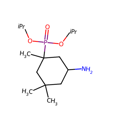 CC(C)OP(=O)(OC(C)C)C1(C)CC(N)CC(C)(C)C1